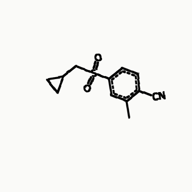 Cc1cc(S(=O)(=O)CC2CC2)ccc1C#N